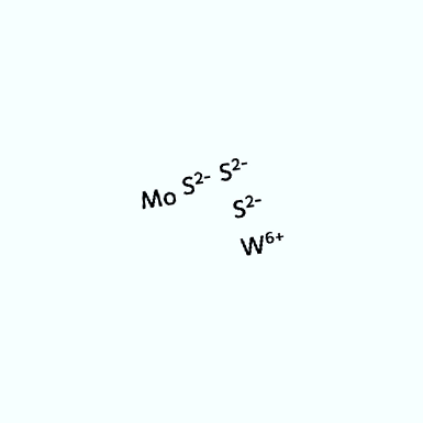 [Mo].[S-2].[S-2].[S-2].[W+6]